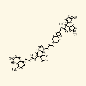 O=C(OC1CC2(CCN(CCCn3nnc4cc(CNCCc5ccc(O)c6[nH]c(=O)ccc56)c5c(c43)CCC5)CC2)C1)C(O)(c1ccc(Cl)s1)c1ccc(Cl)s1